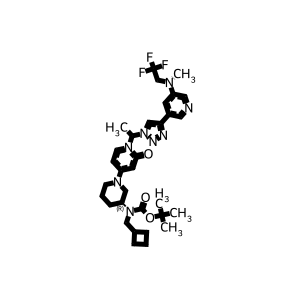 CC(n1cc(-c2cncc(N(C)CC(F)(F)F)c2)nn1)n1ccc(N2CCC[C@@H](N(CC3CCC3)C(=O)OC(C)(C)C)C2)cc1=O